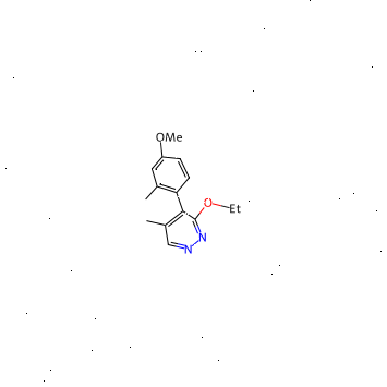 CCOc1nncc(C)c1-c1ccc(OC)cc1C